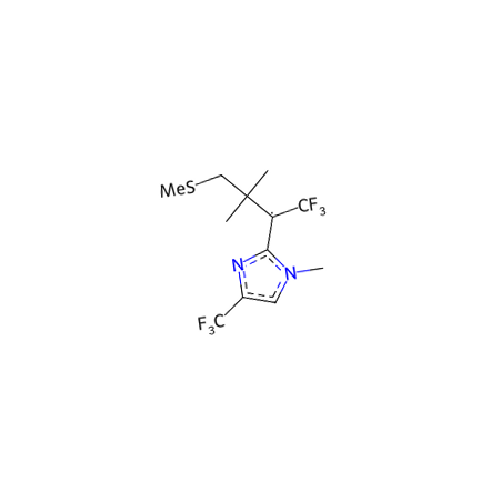 CSCC(C)(C)[C](c1nc(C(F)(F)F)cn1C)C(F)(F)F